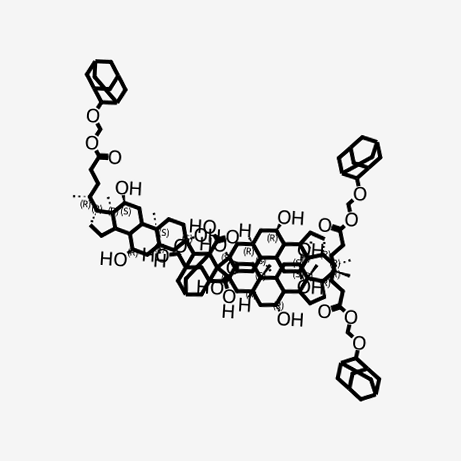 C[C@H](CCC(=O)OCOC1C2CC3CC(C2)CC1C3)[C@H]1CCC2C3C(C[C@H](O)[C@@]21C)[C@@]1(C)CC[C@@](O)(C2C4(C(=O)O)CC5CC(C(=O)O)(C4)C([C@]4(O)CC[C@]6(C)C7C[C@H](O)[C@@]8(C)C(CC[C@@H]8[C@H](C)CCC(=O)OCOC8C9CC%10CC(C9)CC8C%10)C7[C@H](O)C[C@@H]6C4)([C@]4(O)CC[C@]6(C)C7C[C@H](O)[C@@]8(C)C(CC[C@@H]8[C@H](C)CCC(=O)OCOC8C9CC%10CC(C9)CC8C%10)C7[C@H](O)C[C@@H]6C4)C2(C(=O)O)C5)C[C@H]1C[C@H]3O